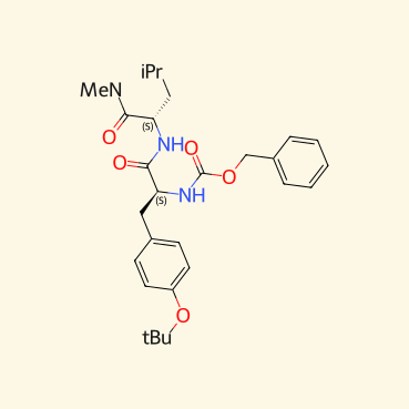 CNC(=O)[C@H](CC(C)C)NC(=O)[C@H](Cc1ccc(OC(C)(C)C)cc1)NC(=O)OCc1ccccc1